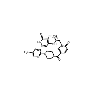 CC(Cn1cc(C(=O)N2CCN(c3ncc(C(F)(F)F)cn3)CC2)ccc1=O)Nc1cn[nH]c(=O)c1C(F)(F)F